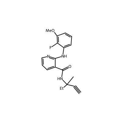 C#CC(C)(CC)NC(=O)c1cccnc1Nc1cccc(OC)c1F